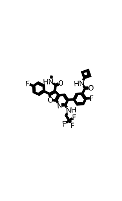 CNC(=O)c1c(-c2ccc(F)cc2)oc2nc(NCC(F)(F)F)c(-c3ccc(F)c(C(=O)NC4=C=CC4)c3)cc12